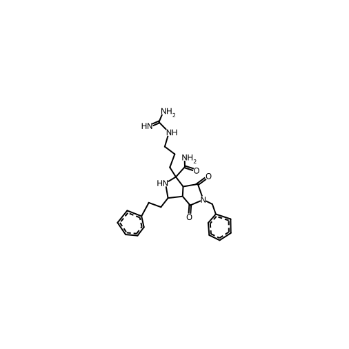 N=C(N)NCCCC1(C(N)=O)NC(CCc2ccccc2)C2C(=O)N(Cc3ccccc3)C(=O)C21